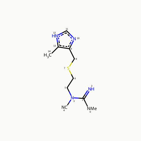 CNC(=N)N(C#N)CCSCc1nc[nH]c1C